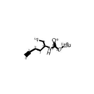 C#CCCC(CF)NC(=O)OC(C)(C)C